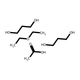 CC(=O)O.CCOCC.OCCCO.OCCCO